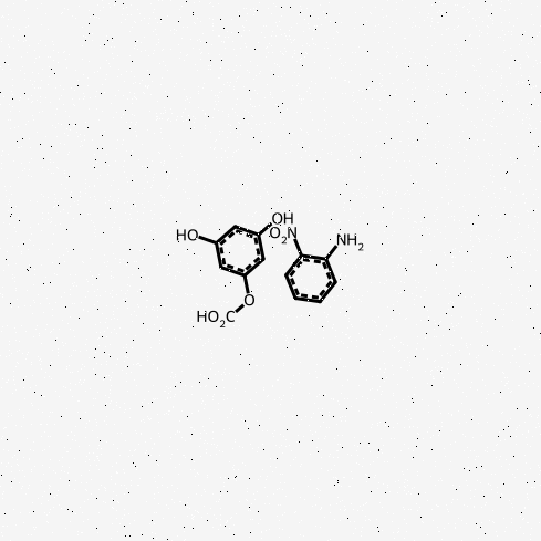 Nc1ccccc1[N+](=O)[O-].O=C(O)Oc1cc(O)cc(O)c1